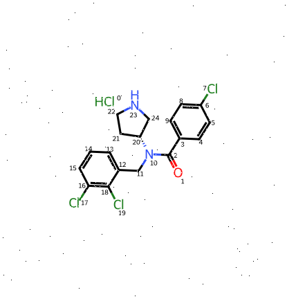 Cl.O=C(c1ccc(Cl)cc1)N(Cc1cccc(Cl)c1Cl)[C@@H]1CCNC1